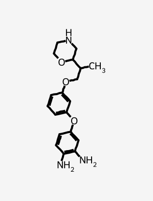 CC(COc1cccc(Oc2ccc(N)c(N)c2)c1)C1CNCCO1